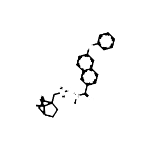 CN(OS(=O)(=O)CC12CCC(CC1=O)C2(C)C)C(=O)c1ccc2cc(Oc3ccccc3)ccc2c1